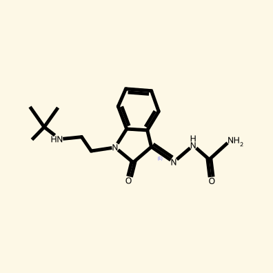 CC(C)(C)NCCN1C(=O)/C(=N/NC(N)=O)c2ccccc21